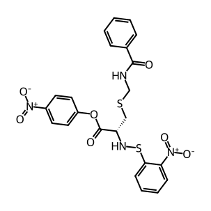 O=C(NCSC[C@H](NSc1ccccc1[N+](=O)[O-])C(=O)Oc1ccc([N+](=O)[O-])cc1)c1ccccc1